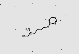 N[C@@H](CS)CCCCOc1ccccn1